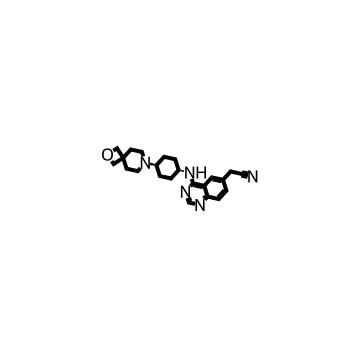 N#CCc1ccc2ncnc(N[C@H]3CC[C@H](N4CCC5(CC4)COC5)CC3)c2c1